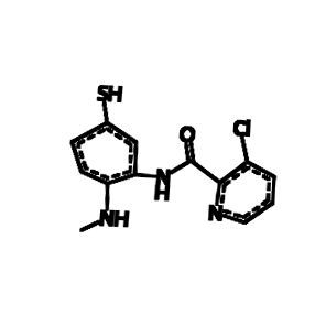 CNc1ccc(S)cc1NC(=O)c1ncccc1Cl